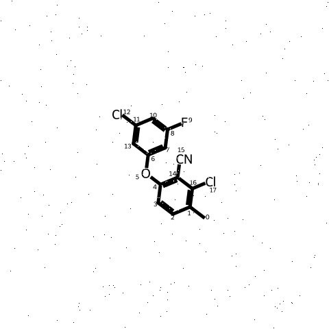 Cc1ccc(Oc2cc(F)cc(Cl)c2)c(C#N)c1Cl